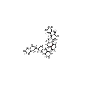 C[Si]1(C)c2cc(N(c3ccc(-c4ccc5ccccc5c4)cc3)c3ccccc3-c3ccccc3)ccc2-c2ccc3oc4ccccc4c3c21